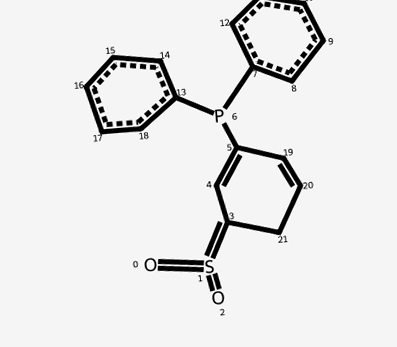 O=S(=O)=C1C=C(P(c2ccccc2)c2ccccc2)C=CC1